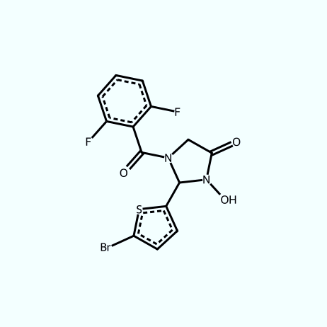 O=C1CN(C(=O)c2c(F)cccc2F)C(c2ccc(Br)s2)N1O